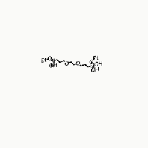 CCO[SiH](O)CCCOCCOCCC[Si](O)(O)OCC